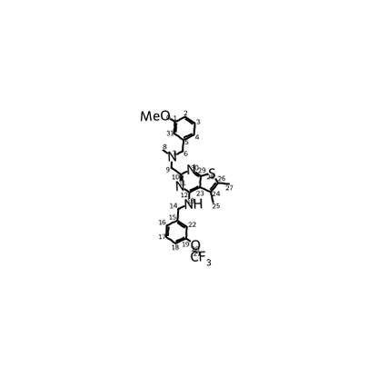 COc1cccc(CN(C)Cc2nc(NCc3cccc(OC(F)(F)F)c3)c3c(C)c(C)sc3n2)c1